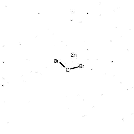 BrOBr.[Zn]